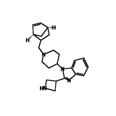 C1=C[C@H]2C[C@@H]1CC2CN1CCC(n2c(C3CNC3)nc3ccccc32)CC1